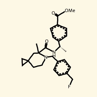 COC(=O)c1ccc([C@H](C)NC(=O)C2(C)CC3(CCN2Cc2ccc(CF)cc2)CC3)cc1